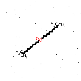 CC(C)CCCCCCCCCCCCOC(=O)CCCCCCCCCCCC(C)C